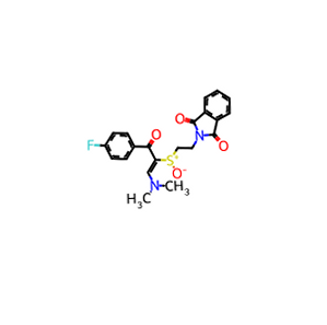 CN(C)/C=C(/C(=O)c1ccc(F)cc1)[S+]([O-])CCN1C(=O)c2ccccc2C1=O